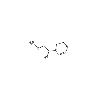 NOCC(O)c1ccccc1